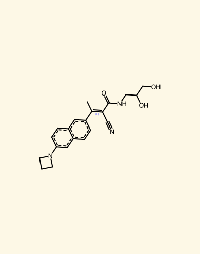 C/C(=C(/C#N)C(=O)NCC(O)CO)c1ccc2cc(N3CCC3)ccc2c1